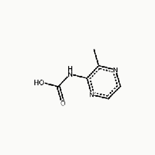 Cc1nccnc1NC(=O)O